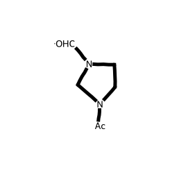 CC(=O)N1CCN([C]=O)C1